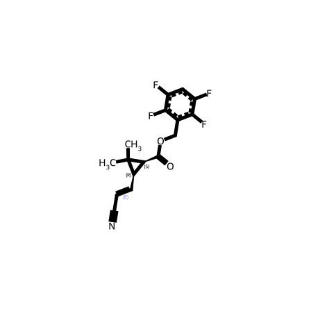 CC1(C)[C@H](/C=C/C#N)[C@@H]1C(=O)OCc1c(F)c(F)cc(F)c1F